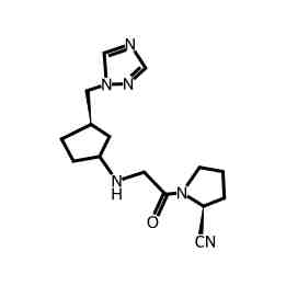 N#C[C@@H]1CCCN1C(=O)CNC1CC[C@@H](Cn2cncn2)C1